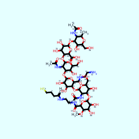 C=C(CCCS)NCCNC(=O)C1OC(OC2C(O)C(CO)OC(OC3C(C(=O)NCCN)OC(OC4C(O)C(CO)OC(OC5C(C(=O)O)OC(OC6C(O)C(CO)OC(C)C6NC(C)=O)C(O)C5O)C4NC(C)=O)C(O)C3O)C2NC(C)=O)C(O)C(O)C1OC